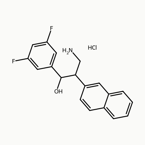 Cl.NCC(c1ccc2ccccc2c1)C(O)c1cc(F)cc(F)c1